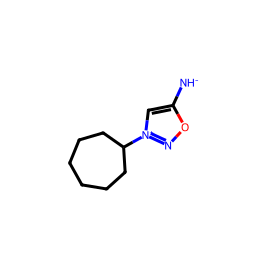 [NH-]c1c[n+](C2CCCCCC2)no1